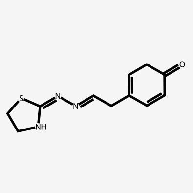 O=C1C=CC(CC=NN=C2NCCS2)=CC1